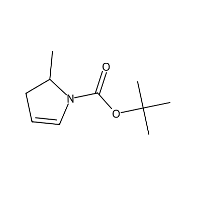 CC1CC=CN1C(=O)OC(C)(C)C